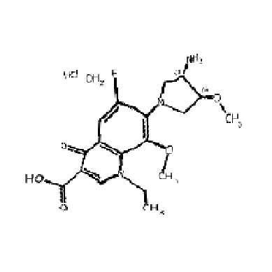 CCn1cc(C(=O)O)c(=O)c2cc(F)c(N3C[C@@H](N)[C@@H](OC)C3)c(OC)c21.Cl.O